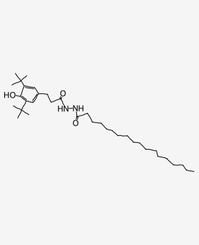 CCCCCCCCCCCCCCCCCC(=O)NNC(=O)CCc1cc(C(C)(C)C)c(O)c(C(C)(C)C)c1